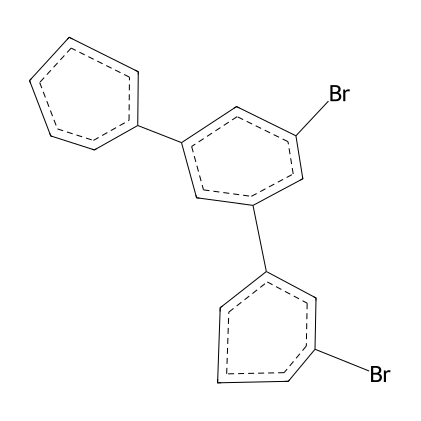 Brc1cccc(-c2cc(Br)cc(-c3ccccc3)c2)c1